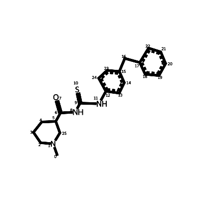 CN1CCCC(C(=O)NC(=S)Nc2ccc(Cc3ccccc3)cc2)C1